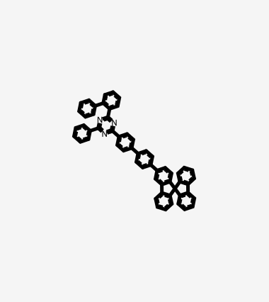 c1ccc(-c2nc(-c3ccc(-c4ccc(-c5ccc6c(c5)-c5ccccc5C65c6ccccc6-c6ccccc65)cc4)cc3)nc(-c3ccccc3-c3ccccc3)n2)cc1